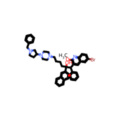 COc1nc2ccc(Br)cc2cc1C(c1ccccc1)C(O)(CCCCN1CCN(C2CCN(Cc3ccccc3)C2)CC1)c1ccc2ccccc2c1